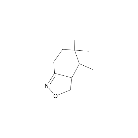 CC1C2CON=C2CCC1(C)C